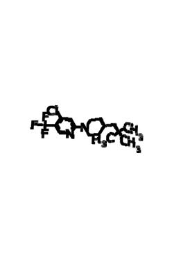 CC(C)(C)CC1CCN(c2cc(Cl)c(C(F)(F)F)cn2)CC1